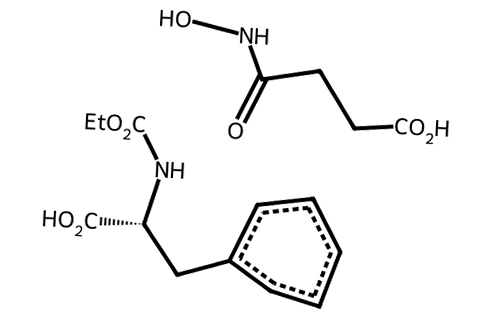 CCOC(=O)N[C@H](Cc1ccccc1)C(=O)O.O=C(O)CCC(=O)NO